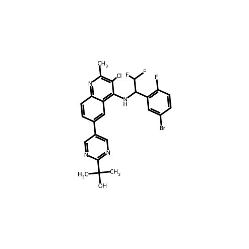 Cc1nc2ccc(-c3cnc(C(C)(C)O)nc3)cc2c(NC(c2cc(Br)ccc2F)C(F)F)c1Cl